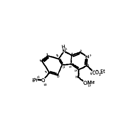 CCOC(=O)c1ncc2[nH]c3ccc(OC(C)C)cc3c2c1COC